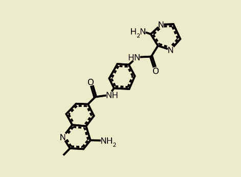 Cc1cc(N)c2cc(C(=O)Nc3ccc(NC(=O)c4nccnc4N)cc3)ccc2n1